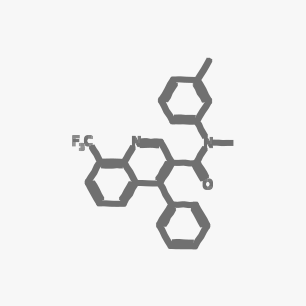 Cc1cccc(N(C)C(=O)c2cnc3c(C(F)(F)F)cccc3c2-c2ccccc2)c1